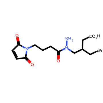 CC(C)CC(CC(=O)O)CN(N)C(=O)CCCN1C(=O)C=CC1=O